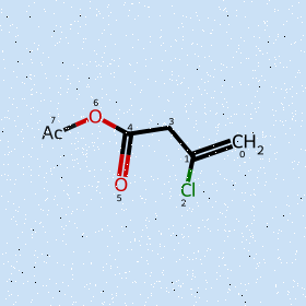 C=C(Cl)CC(=O)OC(C)=O